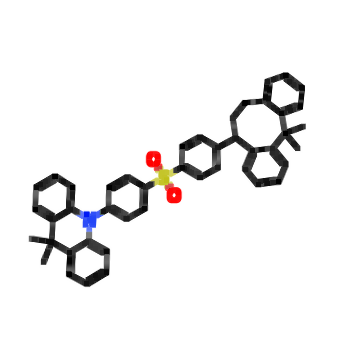 CC1(C)c2ccccc2CCC(c2ccc(S(=O)(=O)c3ccc(N4c5ccccc5C(C)(C)c5ccccc54)cc3)cc2)c2ccccc21